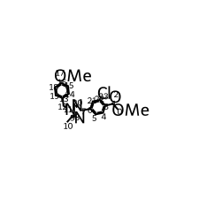 COC(=O)c1ccc(-c2nc(C)n(Cc3ccc(OC)cc3)n2)cc1Cl